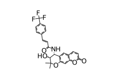 CC1(C)Oc2cc3oc(=O)ccc3cc2[C@@H](NC(=O)/C=C/c2ccc(C(F)(F)F)cc2)[C@@H]1O